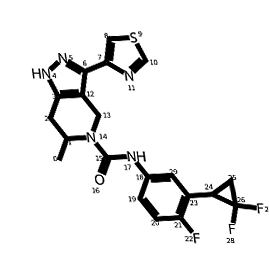 CC1Cc2[nH]nc(-c3cscn3)c2CN1C(=O)Nc1ccc(F)c(C2CC2(F)F)c1